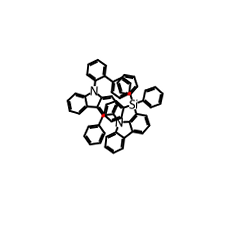 c1ccc(-c2ccccc2-n2c3ccccc3c3c(-c4ccccc4)c(-n4c5ccccc5c5cccc([Si](c6ccccc6)(c6ccccc6)c6ccccc6)c54)ccc32)cc1